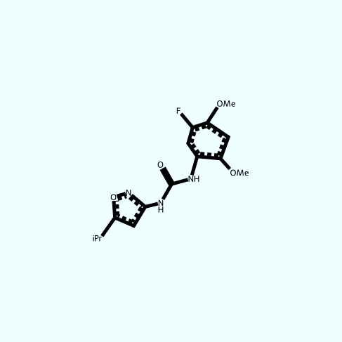 COc1cc(OC)c(NC(=O)Nc2cc(C(C)C)on2)cc1F